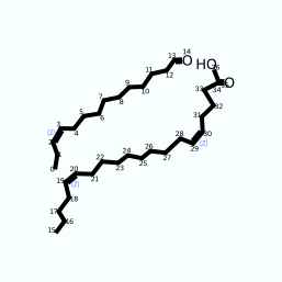 CC/C=C\CCCCCCCCCC=O.CCCC/C=C\CCCCCCCC/C=C\CCCC(=O)O